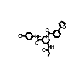 CCC(=O)NC1CC(C(=O)Nc2ccc(Cl)cc2)CN(C(=O)c2cccc(-c3ccco3)c2)C1